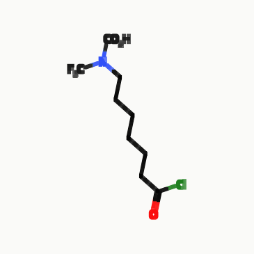 O=C(Cl)CCCCCCN(C(=O)O)C(F)(F)F